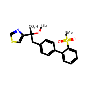 CNS(=O)(=O)c1ccccc1-c1ccc(CC(OC(C)(C)C)(C(=O)O)c2cscn2)cc1